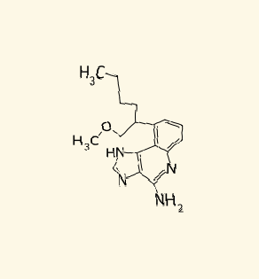 CCCCC(COC)c1cccc2nc(N)c3nc[nH]c3c12